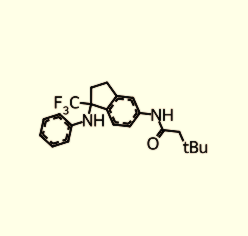 CC(C)(C)CC(=O)Nc1ccc2c(c1)CCC2(Nc1ccccc1)C(F)(F)F